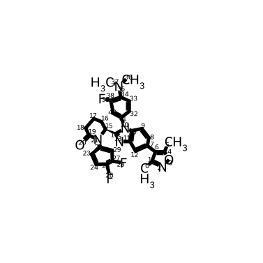 Cc1noc(C)c1-c1ccc2c(c1)nc([C@@H]1CCCC(=O)N1c1ccc(F)c(F)c1)n2-c1ccc(N(C)C)c(F)c1